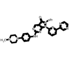 CCCn1c(=O)c2cnc(Nc3ccc(N4CCN(C)CC4)cc3)nc2n1-c1cccc(-c2cnccn2)n1